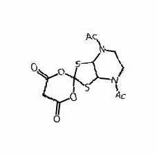 CC(=O)N1CCN(C(C)=O)C2SC3(OC(=O)CC(=O)O3)SC21